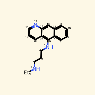 CCNCCCNc1c2ccccc2cc2ncccc12